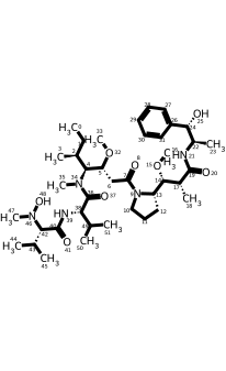 CC[C@H](C)[C@@H]([C@@H](CC(=O)N1CCC[C@H]1[C@H](OC)[C@@H](C)C(=O)N[C@H](C)[C@@H](O)c1ccccc1)OC)N(C)C(=O)[C@@H](NC(=O)[C@H](C(C)C)N(C)O)C(C)C